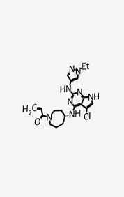 C=CC(=O)N1CCC[C@@H](Nc2nc(Nc3cnn(CC)c3)nc3[nH]cc(Cl)c23)CC1